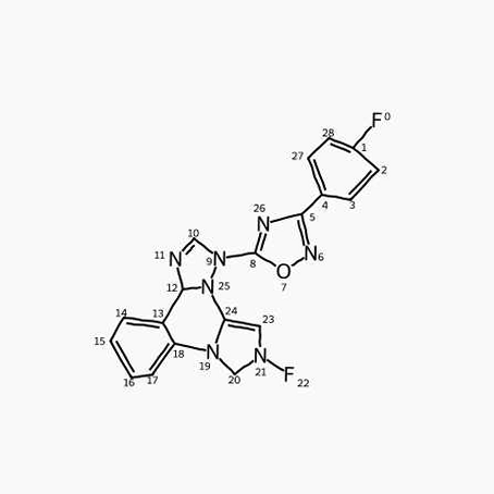 Fc1ccc(-c2noc(N3C=NC4c5ccccc5N5CN(F)C=C5N43)n2)cc1